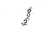 C[S+]([O-])Nc1ccc(CC(=O)N2CCN(c3ccc(Cl)nn3)CC2)cc1